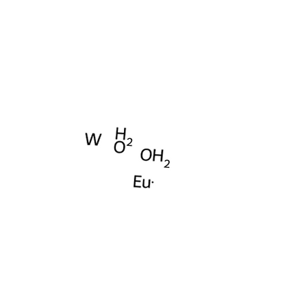 O.O.[Eu].[W]